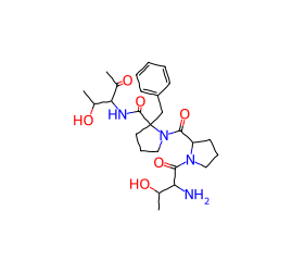 CC(=O)C(NC(=O)C1(Cc2ccccc2)CCCN1C(=O)C1CCCN1C(=O)C(N)C(C)O)C(C)O